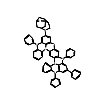 c1ccc(-c2cc3c4c(c2)N(c2ccccc2)c2cc5c(cc2B4c2ccccc2N3c2ccccc2)B2c3ccccc3N(c3ccccc3)c3cc(N4CC6CCC7CC6CC4C7)cc(c32)S5)cc1